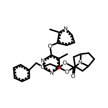 Cc1ncccc1Oc1ncnc(OC2CC3CCC(C2)N3C(=O)OCCOCc2ccccc2)c1C